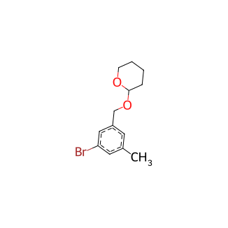 Cc1cc(Br)cc(COC2CCCCO2)c1